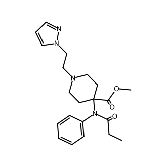 CCC(=O)N(c1ccccc1)C1(C(=O)OC)CCN(CCn2cccn2)CC1